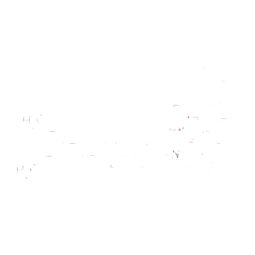 C=C1CC(C)CC(CCc2ccc(-c3ccc(N(c4ccc(-c5cccc6cccc(-c7ccccc7)c56)cc4)c4ccccc4C4(c5ccccc5)c5ccccc5-c5ccccc54)cc3)cc2)C1